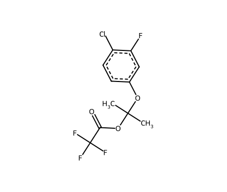 CC(C)(OC(=O)C(F)(F)F)Oc1ccc(Cl)c(F)c1